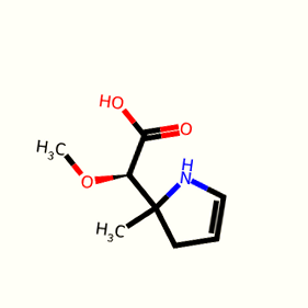 CO[C@@H](C(=O)O)C1(C)CC=CN1